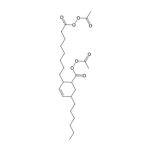 CCCCCCC1C=CC(CCCCCCCC(=O)OOC(C)=O)C(C(=O)OOC(C)=O)C1